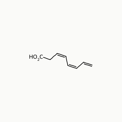 C=C/C=C\C=C/CC(=O)O